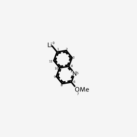 [Li][c]1ccc2nc(OC)ccc2c1